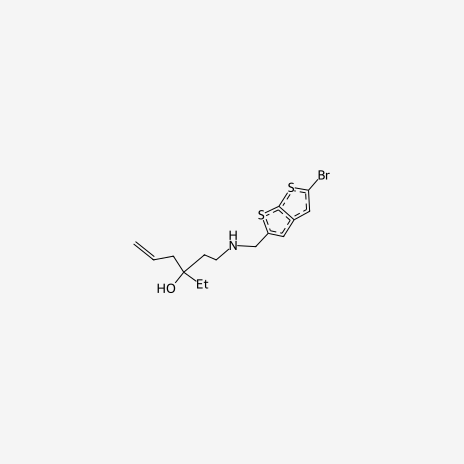 C=CCC(O)(CC)CCNCc1cc2cc(Br)sc2s1